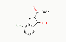 COC(=O)C1Cc2c(Cl)cccc2C1O